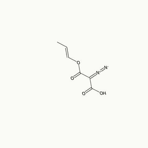 CC=COC(=O)C(=[N+]=[N-])C(=O)O